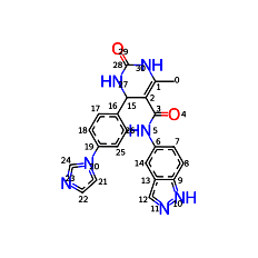 CC1=C(C(=O)Nc2ccc3[nH]ncc3c2)C(c2ccc(-n3ccnc3)cc2)NC(=O)N1